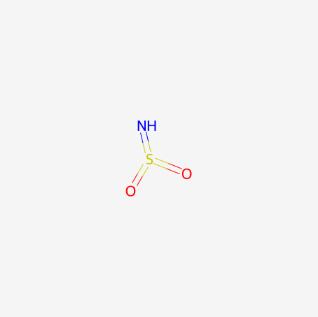 N=S(=O)=O